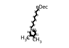 CCCCCCCCCCCCCCCCCC[n+]1ccc(C)c(C)c1